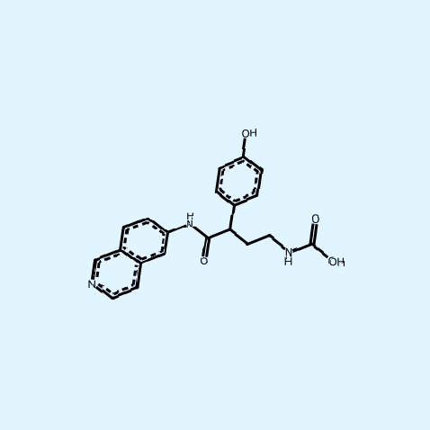 O=C(O)NCCC(C(=O)Nc1ccc2cnccc2c1)c1ccc(O)cc1